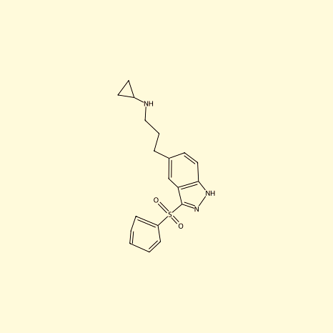 O=S(=O)(c1ccccc1)c1n[nH]c2ccc(CCCNC3CC3)cc12